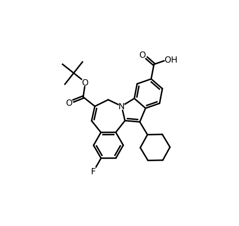 CC(C)(C)OC(=O)C1=Cc2cc(F)ccc2-c2c(C3CCCCC3)c3ccc(C(=O)O)cc3n2C1